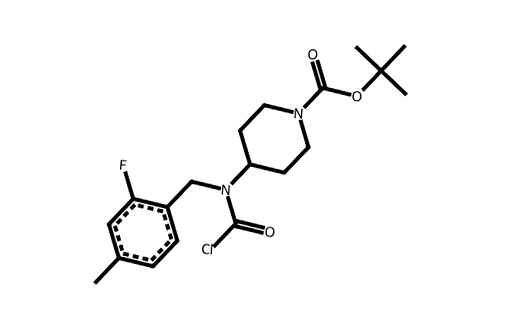 Cc1ccc(CN(C(=O)Cl)C2CCN(C(=O)OC(C)(C)C)CC2)c(F)c1